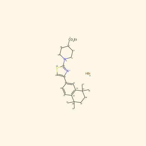 Br.CCOC(=O)C1CCN(c2nc(-c3ccc4c(c3)C(C)(C)CCC4(C)C)cs2)CC1